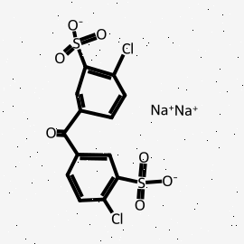 O=C(c1ccc(Cl)c(S(=O)(=O)[O-])c1)c1ccc(Cl)c(S(=O)(=O)[O-])c1.[Na+].[Na+]